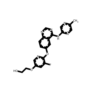 Cc1cnc(Nc2ncnc3ccc(Oc4ncc(OCCO)cc4F)cc23)cn1